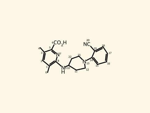 Cc1cc(C)c(C(=O)O)nc1NC1CCN(c2ccccc2C#N)CC1